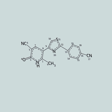 Cc1[nH]c(=O)c(C#N)cc1-c1csc(-c2ccc(C#N)cc2)n1